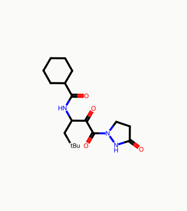 CC(C)(C)CC(NC(=O)C1CCCCC1)C(=O)C(=O)N1CCC(=O)N1